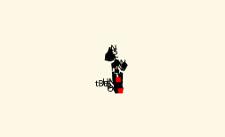 CC(C)(C)[S@@+]([O-])N[C@@H]1c2ccccc2CC12CCN(c1ncc(Sc3cccc4cnsc34)c3nccn13)CC2